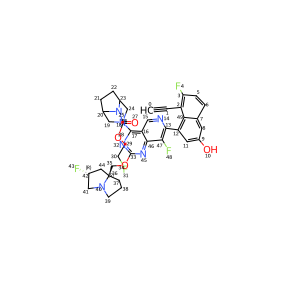 C#Cc1c(F)ccc2cc(O)cc(-c3ncc4c(N5CC6CCC(C5)N6C(=O)OCCF)nc(OC[C@@]56CCCN5C[C@H](F)C6)nc4c3F)c12